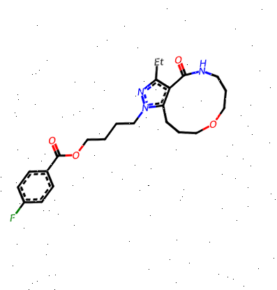 CCc1nn(CCCCOC(=O)c2ccc(F)cc2)c2c1C(=O)NCCCOCCC2